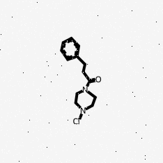 O=C(C[CH]c1ccccc1)N1CCN(Cl)CC1